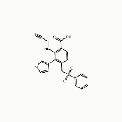 N#CCNc1c(C(=O)O)ccc(CS(=O)(=O)c2ccccc2)c1-c1ccoc1